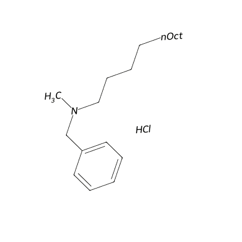 CCCCCCCCCCCCN(C)Cc1ccccc1.Cl